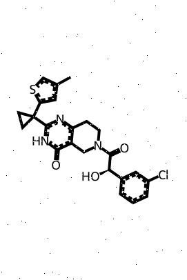 Cc1csc(C2(c3nc4c(c(=O)[nH]3)CN(C(=O)[C@H](O)c3cccc(Cl)c3)CC4)CC2)c1